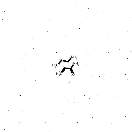 C=CC(N)=O.CCCN